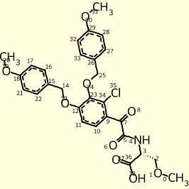 COC[C@@H](NC(=O)C(=O)c1ccc(OCc2ccc(OC)cc2)c(OCc2ccc(OC)cc2)c1Cl)C(=O)O